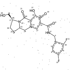 O=C(NCc1ccc(F)cc1F)c1cn2c(c(O)c1=O)C(=O)N1C(C2)SC[C@H]1CO